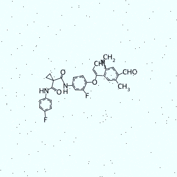 C=Nc1cc(C=O)c(C)cc1/C(=C\C)Oc1ccc(NC(=O)C2(C(=O)Nc3ccc(F)cc3)CC2)cc1F